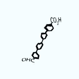 O=Cc1ccc(-c2ccc(-c3ccc(-c4ccc(C(=O)O)cc4)cc3)cc2)cc1